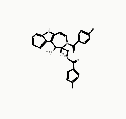 CCOC(=O)C1c2c([nH]c3ccccc23)C=CN(C(=O)c2ccc(F)cc2)C1(COC(=O)c1ccc(F)cc1)C(=O)O